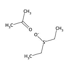 CC(C)=O.CC[S+]([O-])CC